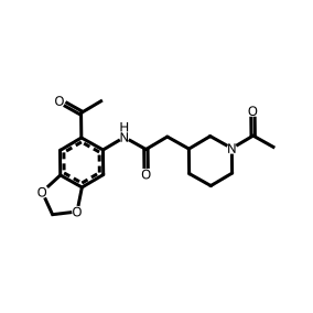 CC(=O)c1cc2c(cc1NC(=O)CC1CCCN(C(C)=O)C1)OCO2